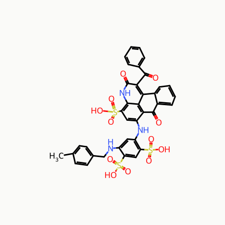 Cc1ccc(CNc2cc(Nc3cc(S(=O)(=O)O)c4[nH]c(=O)c(C(=O)c5ccccc5)c5c4c3C(=O)c3ccccc3-5)c(S(=O)(=O)O)cc2S(=O)(=O)O)cc1